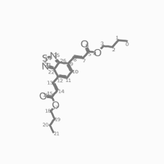 CCCCOC(=O)/C=C/c1ccc(/C=C/C(=O)OCCCC)c2nsnc12